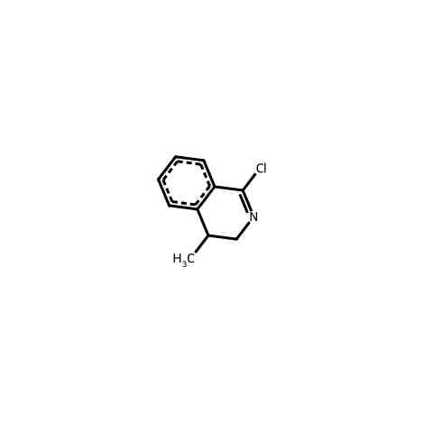 CC1CN=C(Cl)c2ccccc21